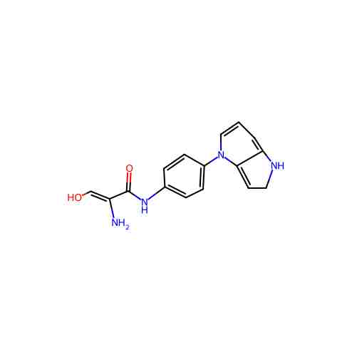 NC(=CO)C(=O)Nc1ccc(N2C=CC=C3NCC=C32)cc1